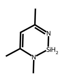 CC1=CC(C)=N[SiH2]N1C